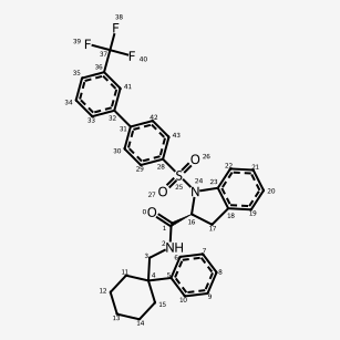 O=C(NCC1(c2ccccc2)CCCCC1)[C@@H]1Cc2ccccc2N1S(=O)(=O)c1ccc(-c2cccc(C(F)(F)F)c2)cc1